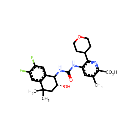 Cc1cc(NC(=O)NC2c3cc(F)c(F)cc3C(C)(C)C[C@H]2O)c(C2CCOCC2)nc1C(=O)O